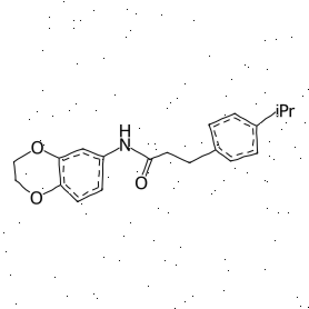 CC(C)c1ccc(CCC(=O)Nc2ccc3c(c2)OCCO3)cc1